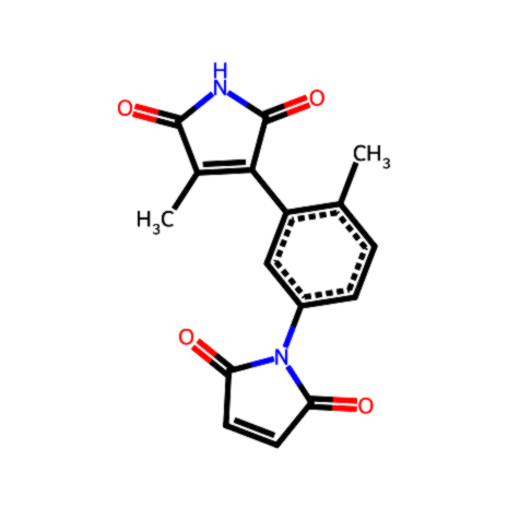 CC1=C(c2cc(N3C(=O)C=CC3=O)ccc2C)C(=O)NC1=O